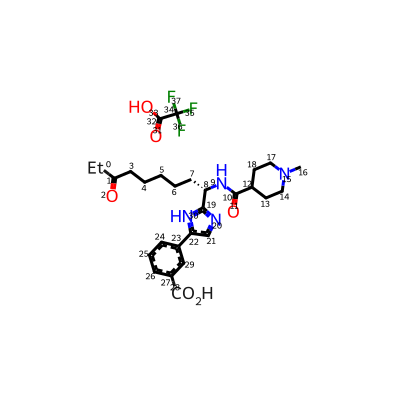 CCC(=O)CCCCC[C@H](NC(=O)C1CCN(C)CC1)c1ncc(-c2cccc(C(=O)O)c2)[nH]1.O=C(O)C(F)(F)F